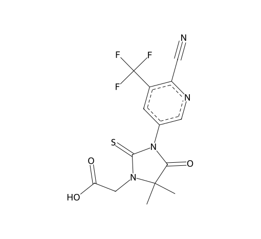 CC1(C)C(=O)N(c2cnc(C#N)c(C(F)(F)F)c2)C(=S)N1CC(=O)O